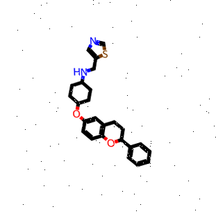 c1ccc(C2CCc3cc(OC4CCC(NCc5cncs5)CC4)ccc3O2)cc1